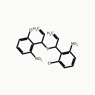 C=CC(SC(C=C)c1c(Cl)cccc1[N+](=O)[O-])c1c(Cl)cccc1[N+](=O)[O-]